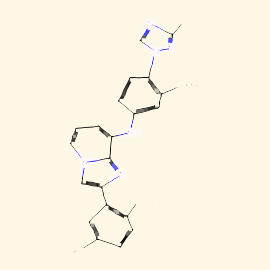 COc1cc(Nc2cccn3cc(-c4cc(C#N)ccc4C)nc23)ccc1-n1cnc(C)n1